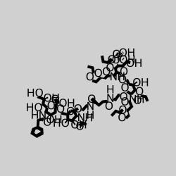 CCC(=O)O[C@H](CC)CC(=O)NC1[C@H](OCCNC(=O)CCC(=O)NCCOC2OC(CO[C@]3(C(=O)O)C[C@@H](O)[C@@H](NC(=O)Cc4ccccc4)C([C@H](O)[C@H](O)CO)O3)[C@H](O)[C@H](O)[C@@H]2NC(C)=O)OC(CO[C@@H]2OC(CO)[C@@H](OP(=O)(O)O)[C@H](OC(=O)CC)C2NC(=O)C[C@@H](CC)OC(=O)CC)[C@@H](O)[C@@H]1OC(=O)CC